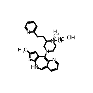 Cc1cc2c(s1)NC=c1cccnc1=C2N1CCN(C)C(CCc2ccccn2)C1.Cl.Cl.Cl